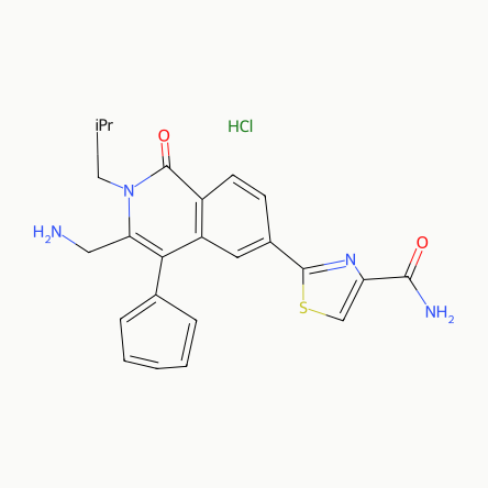 CC(C)Cn1c(CN)c(-c2ccccc2)c2cc(-c3nc(C(N)=O)cs3)ccc2c1=O.Cl